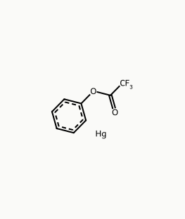 O=C(Oc1ccccc1)C(F)(F)F.[Hg]